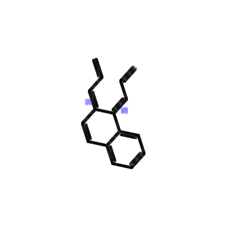 C=C/C=c1/ccc2ccccc2/c1=C/C=C